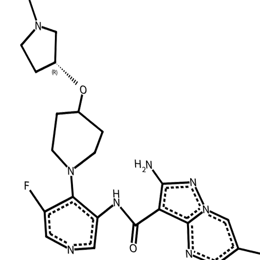 CN1CC[C@@H](OC2CCN(c3c(F)cncc3NC(=O)c3c(N)nn4cc(F)cnc34)CC2)C1